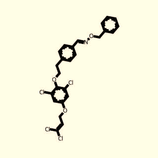 ClC(Cl)=CCOc1cc(Cl)c(OCCc2ccc(C=NOCc3ccccc3)cc2)c(Cl)c1